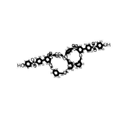 O=S(=O)(c1ccc(O)cc1)c1ccc(-c2ccc3c(c2)OCc2cccc(c2)COCc2cccc(c2)C2(OCc4cccc(c4)COc4cc(-c5ccc(S(=O)(=O)c6ccc(O)cc6)cc5)ccc4S(=O)(=O)c4ccc(cc4)O2)Oc2ccc(cc2)S3(=O)=O)cc1